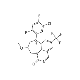 COC1Cn2c(=O)ncc3cc(C(F)(F)F)cc(c32)[SH](c2cc(Cl)c(F)cc2F)C1